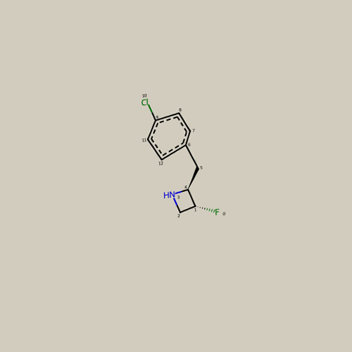 F[C@@H]1CN[C@H]1Cc1ccc(Cl)cc1